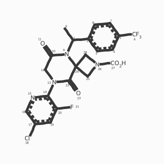 CC(c1ccc(C(F)(F)F)cc1)N1C(=O)CN(c2ncc(Cl)cc2F)C(=O)C12CN(C(=O)O)C2